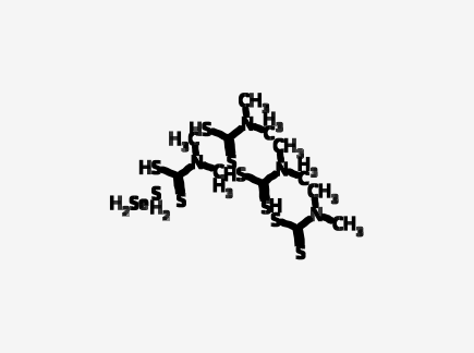 CN(C)C(=S)S.CN(C)C(=S)S.CN(C)C(=S)S.CN(C)C(=S)S.S.[SeH2]